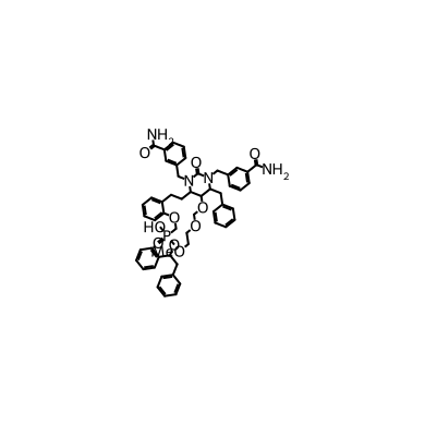 COCCOCOC1C(CCc2ccccc2OCP(=O)(O)OC(Cc2ccccc2)c2ccccc2)N(Cc2cccc(C(N)=O)c2)C(=O)N(Cc2cccc(C(N)=O)c2)C1Cc1ccccc1